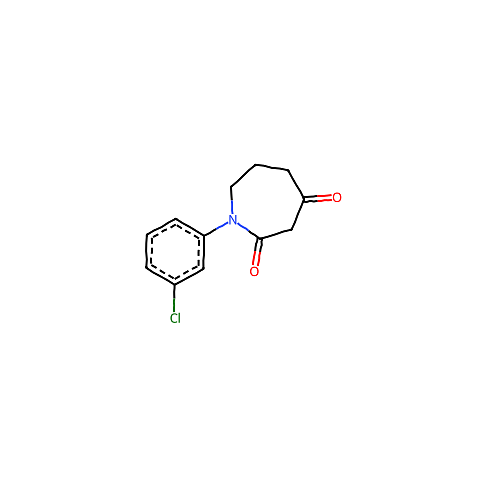 O=C1CCCN(c2cccc(Cl)c2)C(=O)C1